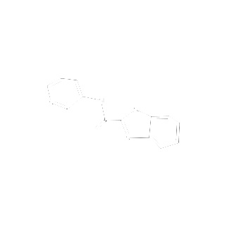 O=C(Nc1cccnc1)c1nc2ccccc2[nH]1